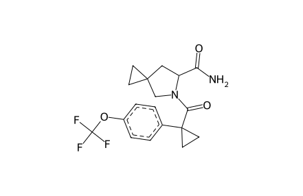 NC(=O)C1CC2(CC2)CN1C(=O)C1(c2ccc(OC(F)(F)F)cc2)CC1